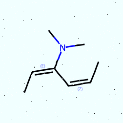 C/C=C\C(=C/C)N(C)C